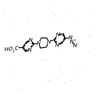 [N-]=[N+]=Nc1cnc(N2CCN(c3ncc(C(=O)O)cn3)CC2)nc1